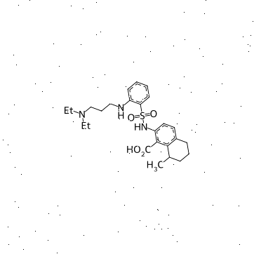 CCN(CC)CCCNc1ccccc1S(=O)(=O)Nc1ccc2c(c1C(=O)O)C(C)CCC2